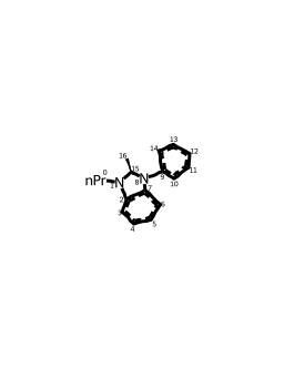 CCCN1c2ccccc2N(c2ccccc2)[C@@H]1C